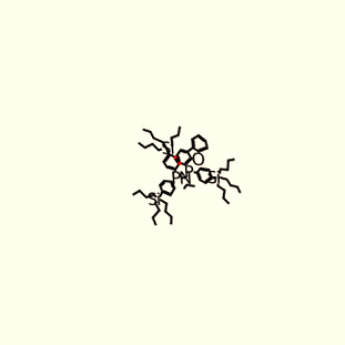 CCCC[Si](CCCC)(CCCC)c1ccc(P(c2ccc([Si](CCCC)(CCCC)CCCC)cc2)N(C(C)C)P(c2ccc([Si](CCCC)(CCCC)CCCC)cc2)c2cccc3c2oc2ccccc23)cc1